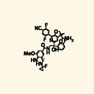 COC1=CC(C(=O)NCC(O)(c2cccc(F)c2)c2cc3c(c(-c4cc(F)c(C#N)cc4F)n2)OC[C@]3(C)C(N)=O)=C/C(=C/NC2(F)CC2)C1=N